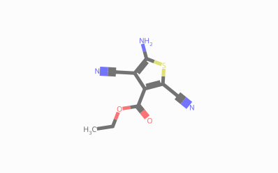 CCOC(=O)c1c(C#N)sc(N)c1C#N